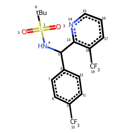 CC(C)(C)S(=O)(=O)NC(c1ccc(C(F)(F)F)cc1)c1ncccc1C(F)(F)F